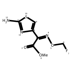 COC(=O)C(=NOCF)c1csc(N)n1